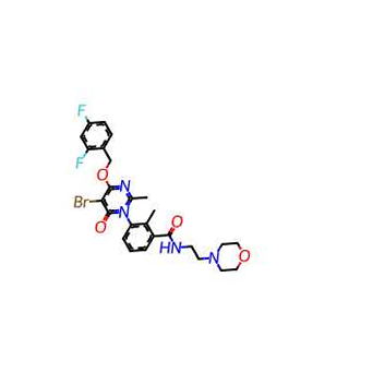 Cc1c(C(=O)NCCN2CCOCC2)cccc1-n1c(C)nc(OCc2ccc(F)cc2F)c(Br)c1=O